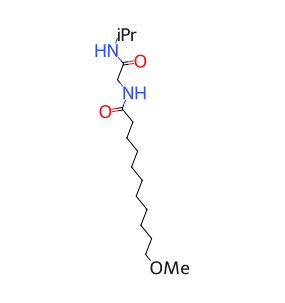 COCCCCCCCCCCC(=O)NCC(=O)NC(C)C